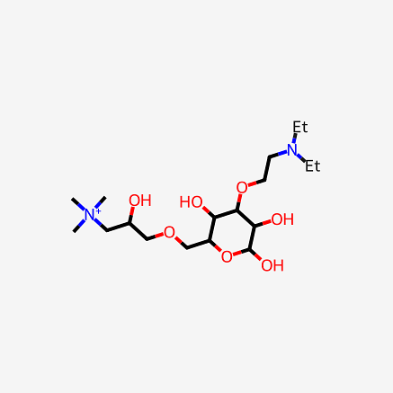 CCN(CC)CCOC1C(O)C(O)OC(COCC(O)C[N+](C)(C)C)C1O